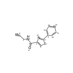 CC(C)(C)CNC(=O)c1csc(-c2ccncc2)n1